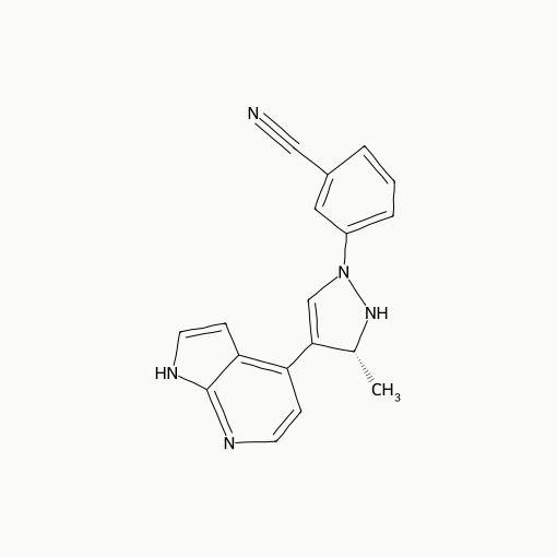 C[C@H]1NN(c2cccc(C#N)c2)C=C1c1ccnc2[nH]ccc12